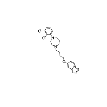 Clc1cccc(N2CCCN(CCCCOc3ccn4nccc4c3)CC2)c1Cl